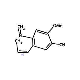 C=Nc1cc(OC)c(C#N)cc1/C=C\C